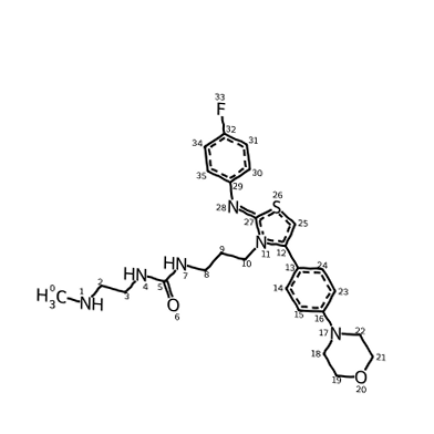 CNCCNC(=O)NCCCn1c(-c2ccc(N3CCOCC3)cc2)cs/c1=N\c1ccc(F)cc1